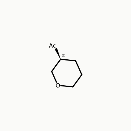 CC(=O)[C@H]1CCCOC1